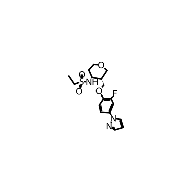 CCS(=O)(=O)N[C@H]1CCOC[C@@H]1COc1ccc(-n2cccn2)cc1F